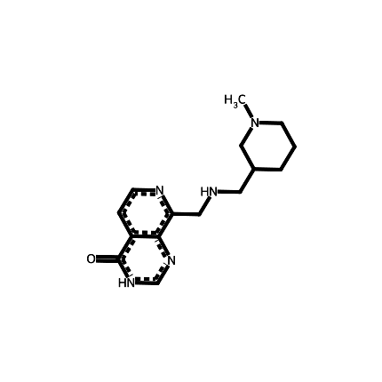 CN1CCCC(CNCc2nccc3c(=O)[nH]cnc23)C1